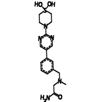 CN(CC(N)=O)Cc1cccc(-c2cnc(N3CCS(O)(O)CC3)nc2)c1